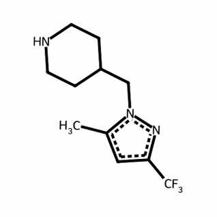 Cc1cc(C(F)(F)F)nn1CC1CCNCC1